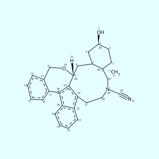 C[C@@]12CC[C@H](O)CC1C[C@H]1OCc3ccccc3-n3c1c(c1ccccc13)CCN(C#N)C2